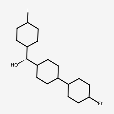 CCC1CCC(C2CCC([C@H](O)C3CCC(I)CC3)CC2)CC1